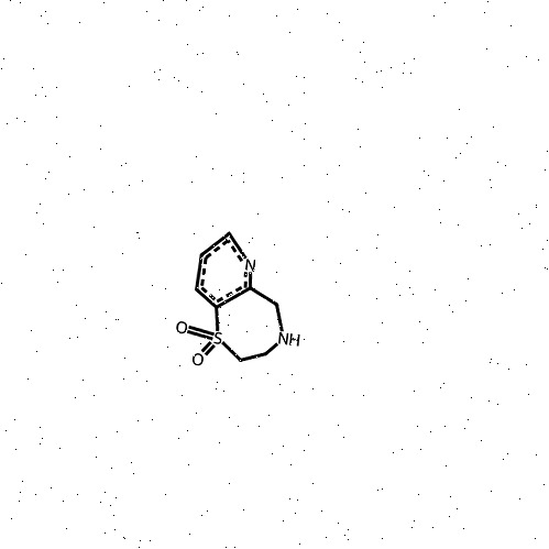 O=S1(=O)CCNCc2ncccc21